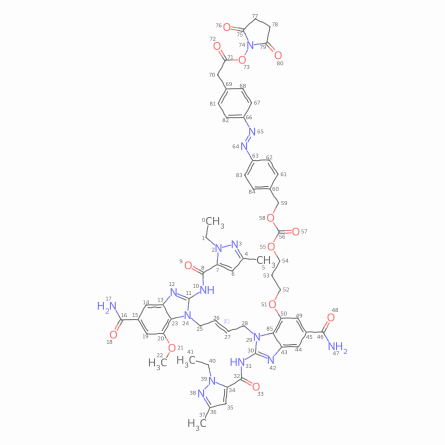 CCn1nc(C)cc1C(=O)Nc1nc2cc(C(N)=O)cc(OC)c2n1C/C=C/Cn1c(NC(=O)c2cc(C)nn2CC)nc2cc(C(N)=O)cc(OCCCOC(=O)OCc3ccc(N=Nc4ccc(CC(=O)ON5C(=O)CCC5=O)cc4)cc3)c21